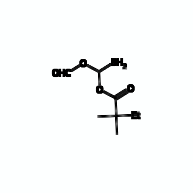 BC(OC=O)OC(=O)C(C)(C)CC